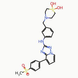 CS(=O)(=O)c1ccc(-c2cccn3nc(Nc4cccc(CN5CCS(O)(O)CC5)c4)nc23)cc1